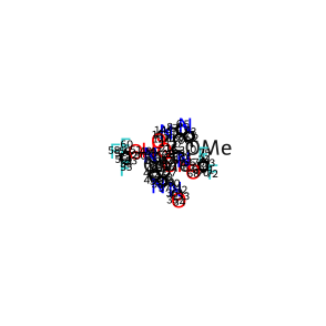 COc1ccc2ncc(CN3CCOCC3)c(CCCC3(C(O)C(O)C4(CCCc5c(CN6CCOCC6)cnc6ccc(OC)cc56)CCN(CCOc5cc(F)cc(F)c5F)CC4)CCN(CCOc4cc(F)cc(F)c4)CC3)c2c1